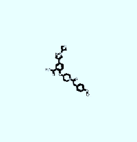 NC(=O)c1cc(-c2cnn(C3COC3)c2)ccc1OC1CCN(C(=O)Cc2ccc(OC(F)(F)F)cc2)CC1